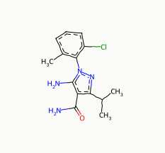 Cc1cccc(Cl)c1-n1nc(C(C)C)c(C(N)=O)c1N